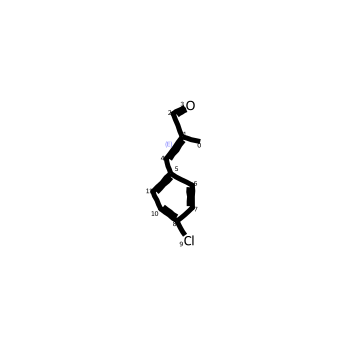 C/C(C=O)=C\c1ccc(Cl)cc1